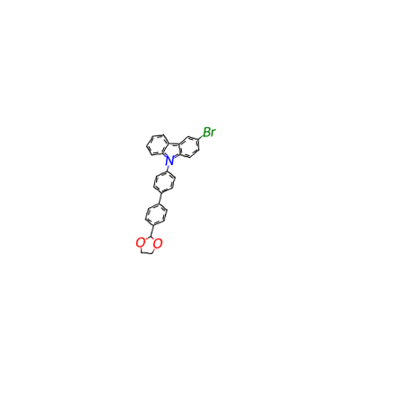 Brc1ccc2c(c1)c1ccccc1n2-c1ccc(-c2ccc(C3OCCO3)cc2)cc1